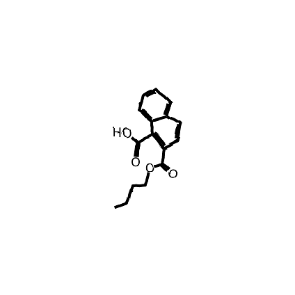 CCCCOC(=O)c1ccc2ccccc2c1C(=O)O